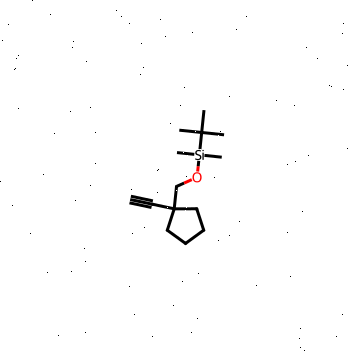 C#CC1(CO[Si](C)(C)C(C)(C)C)CCCC1